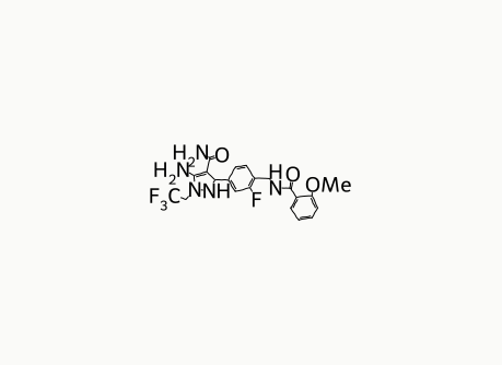 COc1ccccc1C(=O)NCc1ccc(C2NN(CC(F)(F)F)C(N)=C2C(N)=O)cc1F